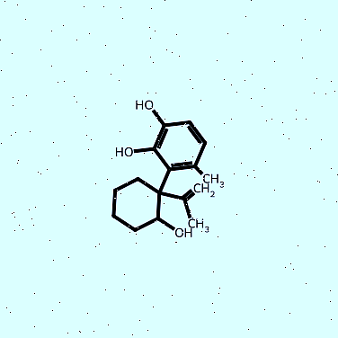 C=C(C)C1(c2c(C)ccc(O)c2O)CCCCC1O